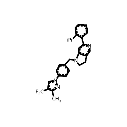 Cc1nn(-c2ccc(CN3CCc4cnc(-c5ccccc5C(C)C)cc43)cc2)cc1C(F)(F)F